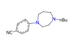 CCCCN1CCCN(c2ccc(C#N)cc2)CC1